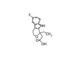 CCC1(CC(=O)O)OCCc2c1[nH]c1ccc(F)cc21